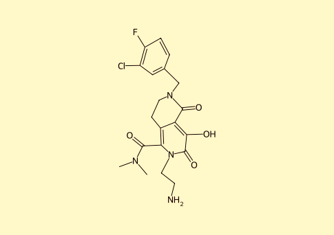 CN(C)C(=O)c1c2c(c(O)c(=O)n1CCN)C(=O)N(Cc1ccc(F)c(Cl)c1)CC2